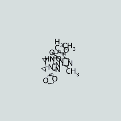 CO[C@H](c1cnc(C)cn1)[C@H](C)S(=O)(=O)Nc1nnc([C@H]2COCCO2)n1C1(C2CC2)CC1